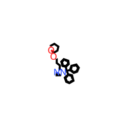 c1ccc(C(c2ccccc2)(c2ccccc2)n2ccnc2CCCOC2CCCCO2)cc1